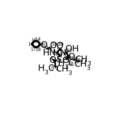 CC(C)C(=O)S[C@H]1[C@@H](NC(=O)COc2ccccc2)C(=O)N1C(O)C(=O)OC(C)(C)C